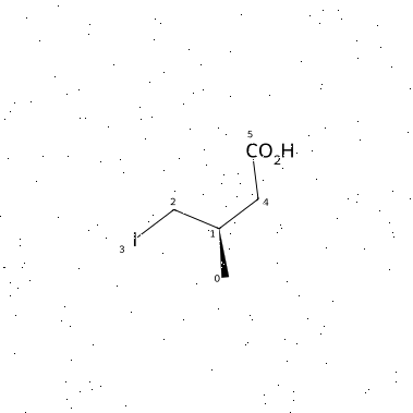 C[C@@H](CI)CC(=O)O